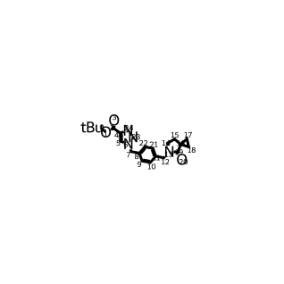 CC(C)(C)OC(=O)c1cn(Cc2ccc(CN3CCC4(CC4)C3=O)cc2)nn1